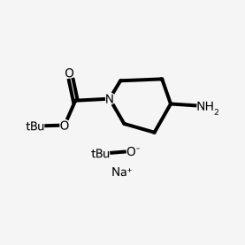 CC(C)(C)OC(=O)N1CCC(N)CC1.CC(C)(C)[O-].[Na+]